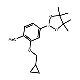 COc1ccc(B2OC(C)(C)C(C)(C)O2)cc1OCC1CC1